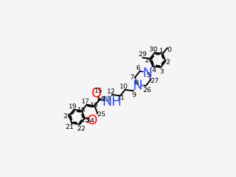 Cc1ccc(N2CCN(CCCCNC(=O)C3=Cc4ccccc4OC3)CC2)c(C)c1